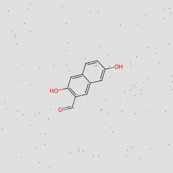 O=[C]c1cc2cc(O)ccc2cc1O